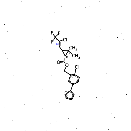 CC1(C)C(/C=C(\Cl)C(F)(F)F)[C@H]1C(=O)OCc1cc(-c2cccs2)ccc1Cl